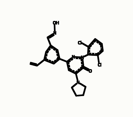 C=Cc1cc(C=NO)cc(-c2cc(N3CCCC3)c(=O)n(-c3c(Cl)cccc3Cl)n2)c1